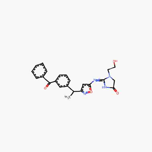 CC(c1cccc(C(=O)c2ccccc2)c1)c1cc(/N=C2\NC(=O)CN2CCO)on1